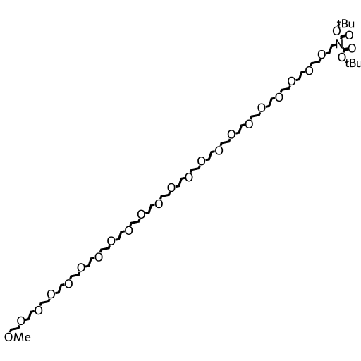 COCCOCCOCCOCCOCCOCCOCCOCCOCCOCCOCCOCCOCCOCCOCCOCCOCCOCCOCCOCCOCCOCCN(C(=O)OC(C)(C)C)C(=O)OC(C)(C)C